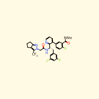 CNC(=O)c1cc(-c2cccnc2[C@H](Cc2cc(F)cc(F)c2)NC(=O)Cn2nc3c(c2C(F)(F)F)CCC3)ccc1F